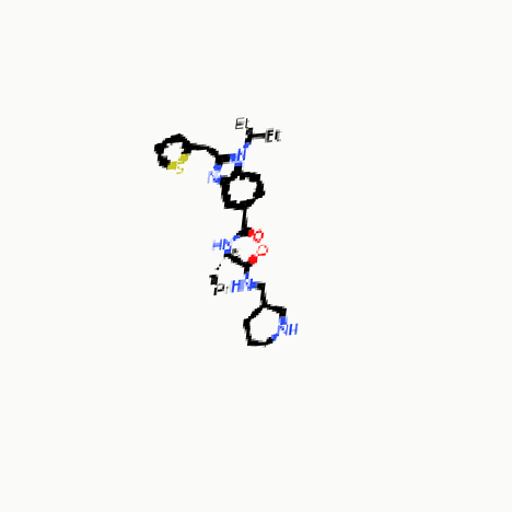 CCC(CC)n1c(Cc2cccs2)nc2cc(C(=O)N[C@@H](CC(C)C)C(=O)NCC3CCCNC3)ccc21